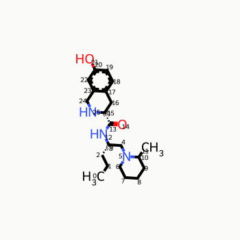 CCC[C@@H](CN1CCCCC1C)NC(=O)[C@H]1Cc2ccc(O)cc2CN1